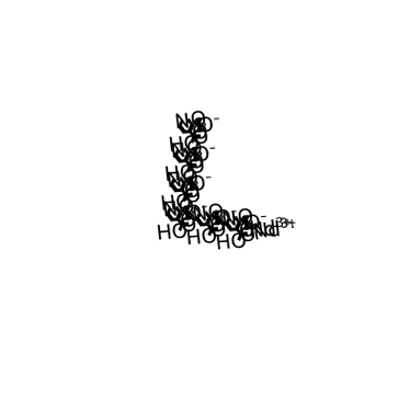 O=C(O)c1ccncc1S(=O)(=O)[O-].O=C(O)c1ccncc1S(=O)(=O)[O-].O=C(O)c1ccncc1S(=O)(=O)[O-].O=C(O)c1ccncc1S(=O)(=O)[O-].O=C(O)c1ccncc1S(=O)(=O)[O-].O=C(O)c1ccncc1S(=O)(=O)[O-].[Nd+3].[Nd+3]